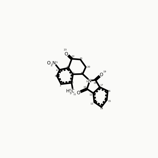 Cc1ccc([N+](=O)[O-])c2c1C(N1C(=O)c3ccccc3C1=O)CCC2=O